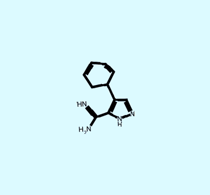 N=C(N)c1[nH]ncc1C1C=CC=CC1